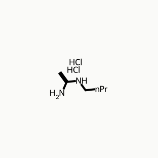 C=C(N)NCCCC.Cl.Cl